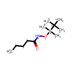 CCCCC(=O)NO[Si](C)(C)C(C)(C)C